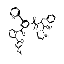 Cc1coc([C@H]2CCCN2C(=O)c2cc(C(=O)N[C@@H](Cc3ccccc3)[C@@H](O)[C@H]3CCCN3)cc(-c3ccccn3)c2)n1